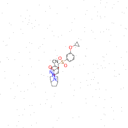 N#Cc1ccc(N2C3CCC2CN(C(=O)CCS(=O)(=O)c2cccc(OC4CC4)c2)C3)nc1